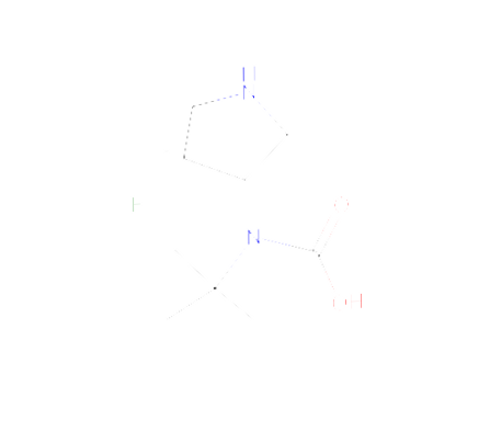 CC(C)(C)N(C(=O)O)[C@H]1CNC[C@H]1F